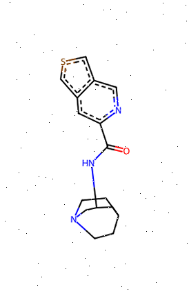 O=C(NC1CC2CCN(CC2)C1)c1cc2cscc2cn1